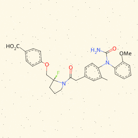 COc1ccccc1N(C(N)=O)c1ccc(CC(=O)N2CCC[C@]2(F)COc2ccc(C(=O)O)cc2)cc1C